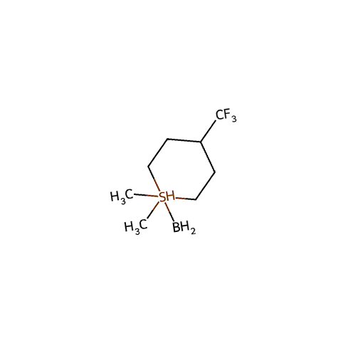 B[SH]1(C)(C)CCC(C(F)(F)F)CC1